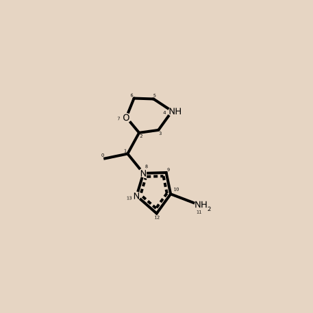 CC(C1CNCCO1)n1cc(N)cn1